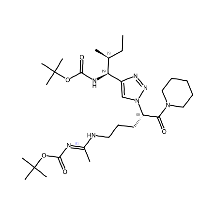 CC[C@H](C)[C@H](NC(=O)OC(C)(C)C)c1cn([C@@H](CCCN/C(C)=N/C(=O)OC(C)(C)C)C(=O)N2CCCCC2)nn1